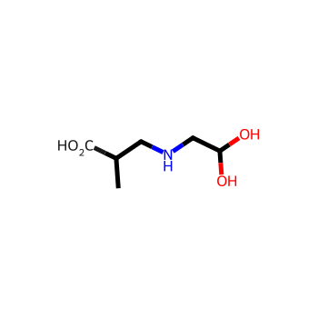 CC(CNCC(O)O)C(=O)O